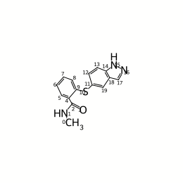 CNC(=O)c1ccccc1Sc1ccc2[nH]ncc2c1